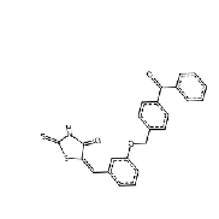 O=C1NC(=S)SC1=Cc1cccc(OCc2ccc(C(=O)c3ccccc3)cc2)c1